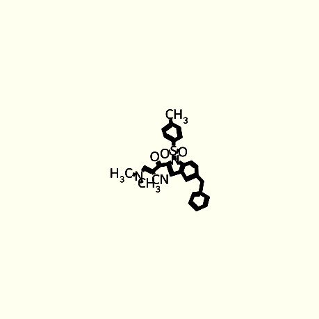 Cc1ccc(S(=O)(=O)n2c(C(=O)/C(C#N)=C/N(C)C)cc3cc(Cc4ccccc4)ccc32)cc1